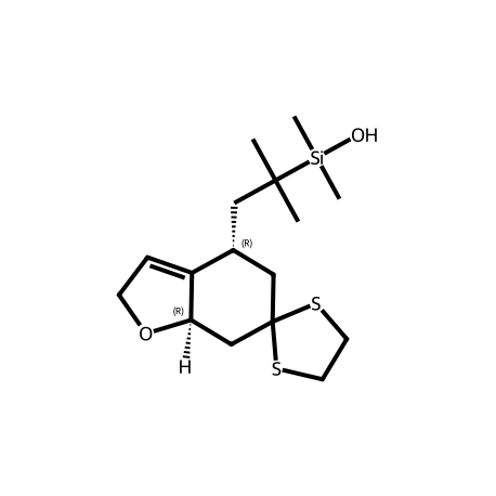 CC(C)(C[C@@H]1CC2(C[C@H]3OCC=C13)SCCS2)[Si](C)(C)O